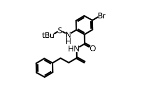 C=C(CCc1ccccc1)NC(=O)c1cc(Br)ccc1NSC(C)(C)C